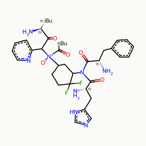 CCCCC(=O)[N+]([O-])(C1CCC(F)(F)C(N(C(=O)[C@@H](N)Cc2ccccc2)C(=O)[C@@H](N)Cc2cnc[nH]2)C1)C(C(=O)[C@@H](N)[C@@H](C)CC)c1ccccn1